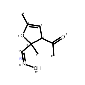 CC(=O)C1C=C(C)OC1(C)/C=N\O